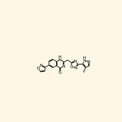 O=c1nc(Cc2nc(-c3[nH]ncc3F)no2)[nH]c2ccc(-c3ccon3)cc12